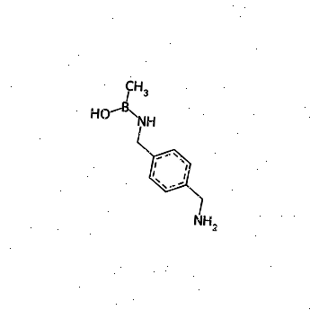 CB(O)NCc1ccc(CN)cc1